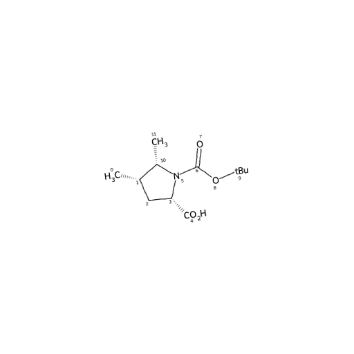 C[C@H]1C[C@@H](C(=O)O)N(C(=O)OC(C)(C)C)[C@H]1C